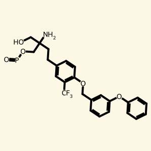 NC(CO)(CCc1ccc(OCc2cccc(Oc3ccccc3)c2)c(C(F)(F)F)c1)COP=O